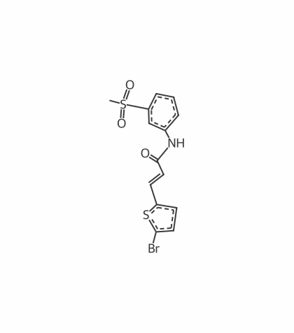 CS(=O)(=O)c1cccc(NC(=O)/C=C/c2ccc(Br)s2)c1